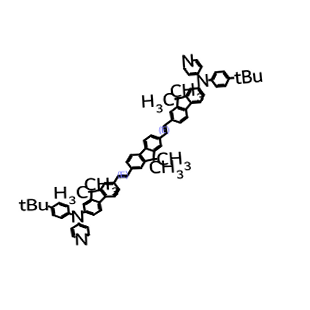 CC(C)(C)c1ccc(N(c2ccncc2)c2ccc3c(c2)C(C)(C)c2cc(/C=C/c4ccc5c(c4)C(C)(C)c4cc(/C=C/c6ccc7c(c6)C(C)(C)c6cc(N(c8ccncc8)c8ccc(C(C)(C)C)cc8)ccc6-7)ccc4-5)ccc2-3)cc1